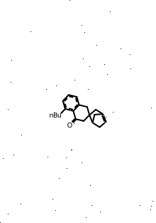 CCCCc1cccc2c1C(=O)CC1(CC3=CCC1C3)C2